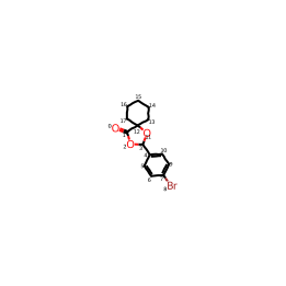 O=C1OC(c2ccc(Br)cc2)OC12CCCCC2